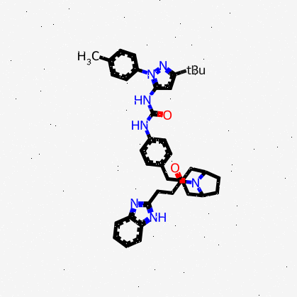 Cc1ccc(-n2nc(C(C)(C)C)cc2NC(=O)Nc2ccc(CC3CC4CCC(C3)N4C(=O)CCc3nc4ccccc4[nH]3)cc2)cc1